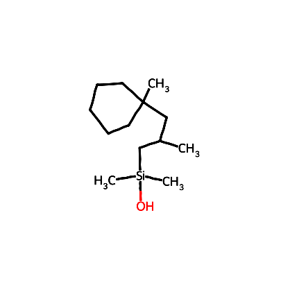 CC(CC1(C)CCCCC1)C[Si](C)(C)O